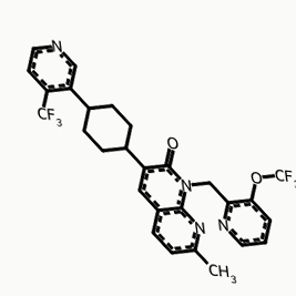 Cc1ccc2cc(C3CCC(c4cnccc4C(F)(F)F)CC3)c(=O)n(Cc3ncccc3OC(F)(F)F)c2n1